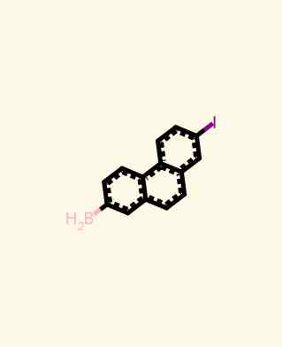 Bc1ccc2c(ccc3cc(I)ccc32)c1